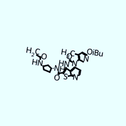 C=CC(=O)N[C@H]1CC[C@@H](NC(=O)c2sc3nccc4c3c2NC(=O)N4c2cnc(OCC(C)C)cc2C)C1